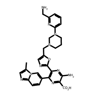 Cc1cnc2ccc(-c3nc(C(=O)O)c(N)nc3-c3ncc(CN4CCCN(c5cccc(CN)n5)C4)o3)cn12